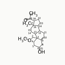 COCC12CC[C@H](O)CC1=CCC1C2CCC2(C)C(C(C)=O)CCC12